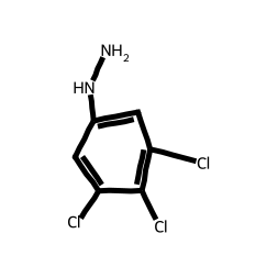 NNc1cc(Cl)c(Cl)c(Cl)c1